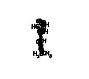 C#CCNC(=O)C(CCCCNC(=O)OC(C)(C)C)NC(=O)CCSSCCNC(=O)c1ccc(/N=N/c2ccc(N(C)C)cc2)cc1